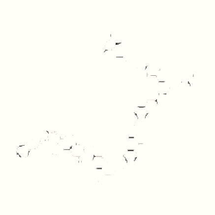 CC[C@H](C)[C@@H]([C@@H](CC(=O)N1CCC[C@H]1[C@H](OC)[C@@H](C)C(=O)N[C@@H](Cc1ccccc1)C(=O)O)OC)N(C)C(=O)[C@@H](NC(=O)[C@H](C(C)C)N(C)CCc1ccc(N(C)C(=O)OCc2ccc(NC(=O)[C@H](CCCNC(N)=O)NC(=O)[C@@H](NC(=O)CCCCCN3C(=O)CC(S)C3=O)C(C)C)cc2)cc1)C(C)C